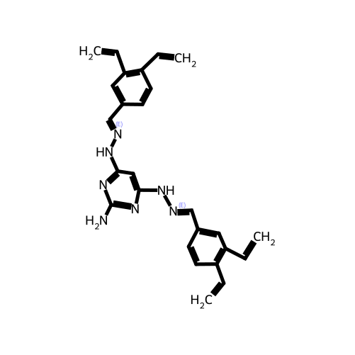 C=Cc1ccc(/C=N/Nc2cc(N/N=C/c3ccc(C=C)c(C=C)c3)nc(N)n2)cc1C=C